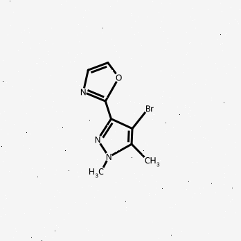 Cc1c(Br)c(-c2ncco2)nn1C